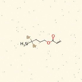 C=CC(=O)OCCCC([SiH3])(Br)Br